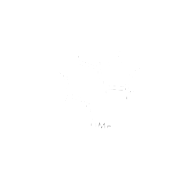 COc1cccc2cc[se]c12